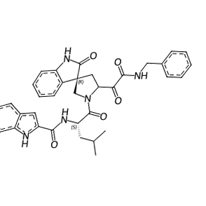 CC(C)C[C@H](NC(=O)c1cc2ccccc2[nH]1)C(=O)N1C[C@]2(CC1C(=O)C(=O)NCc1ccccc1)C(=O)Nc1ccccc12